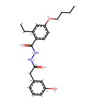 CCCCOc1ccc(C(=O)NNC(=O)Cc2cccc(O)c2)c(CC)c1